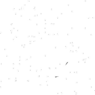 CC(C)[C@@H](C)[C@@H]1C[C@H]1C[C@H]1CCC2C3CC=C4C[C@@H](O)CC[C@]4(C)C3CC[C@@]21C